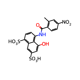 Cc1cc([N+](=O)[O-])ccc1C(=O)Nc1ccc(S(=O)(=O)O)c2cc(S(=O)(=O)O)cc(O)c12